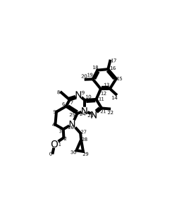 COCC1CCc2c(C)nc3c(-c4c(C)cc(C)cc4C)c(C)nn3c2N1CC1CC1